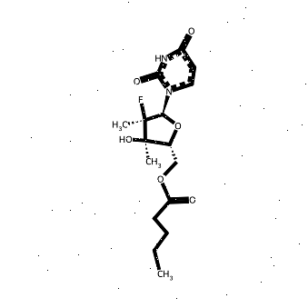 CCCCC(=O)OC[C@H]1O[C@H](n2ccc(=O)[nH]c2=O)[C@](C)(F)[C@]1(C)O